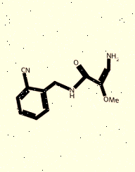 CO/C(=C/N)C(=O)NCc1ccccc1C#N